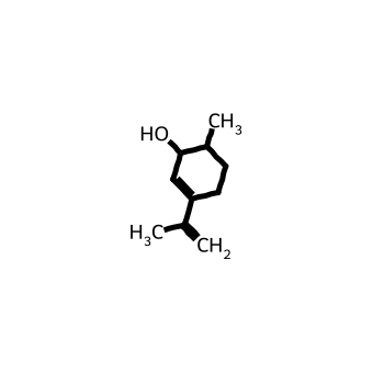 C=C(C)C1=CC(O)C(C)CC1